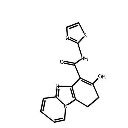 O=C(Nc1nccs1)C1=C(O)CCc2c1nc1ccccn21